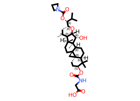 CC(C)[C@@H](OC(=O)N1CCC1)[C@H]1C[C@@H](C)[C@H]2[C@H](O1)[C@H](O)[C@@]1(C)[C@@H]3CC[C@H]4C(C)(C)[C@@H](OC(=O)NCC(=O)O)CC[C@@]45C[C@@]35CC[C@]21C